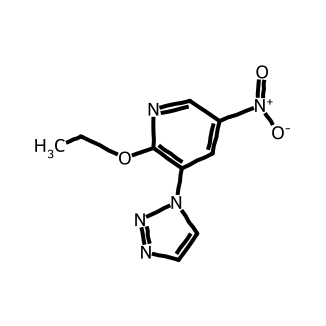 CCOc1ncc([N+](=O)[O-])cc1-n1ccnn1